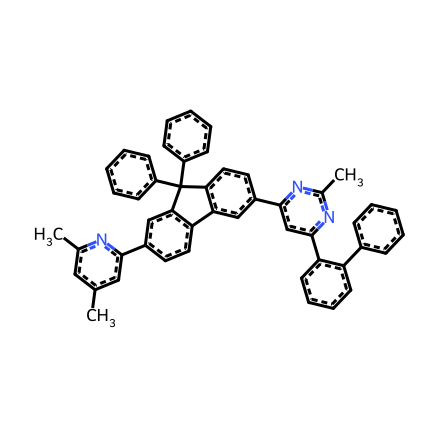 Cc1cc(C)nc(-c2ccc3c(c2)C(c2ccccc2)(c2ccccc2)c2ccc(-c4cc(-c5ccccc5-c5ccccc5)nc(C)n4)cc2-3)c1